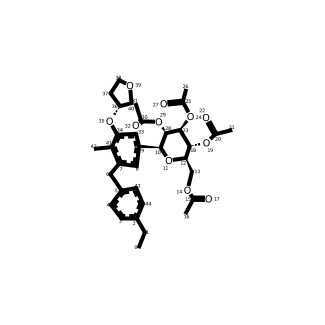 CCc1ccc(Cc2cc([C@@H]3O[C@H](COC(C)=O)[C@@H](OC(C)=O)[C@H](OC(C)=O)[C@H]3OC(C)=O)cc(O[C@@H]3CCOC3)c2C)cc1